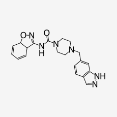 O=C(NC1=NOC2C=CC=CC12)N1CCN(Cc2ccc3cn[nH]c3c2)CC1